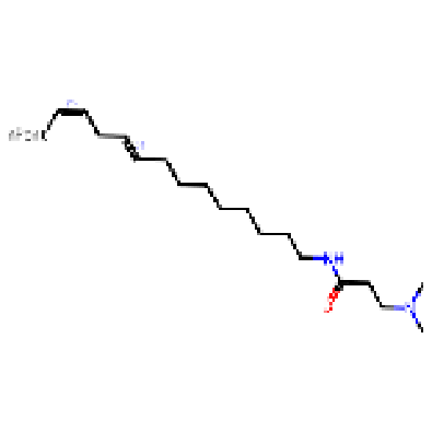 CCCCC/C=C\C/C=C/CCCCCCCCNC(=O)CCN(C)C